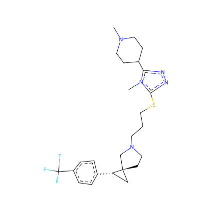 CN1CCC(c2nnc(SCCCN3CC[C@]4(C[C@@H]4c4ccc(C(F)(F)F)cc4)C3)n2C)CC1